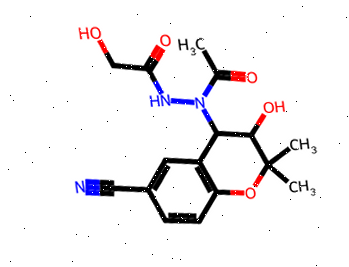 CC(=O)N(NC(=O)CO)C1c2cc(C#N)ccc2OC(C)(C)C1O